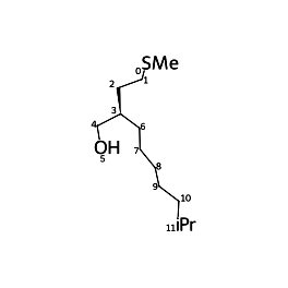 [CH2]SCC[C@H](CO)CCCCCC(C)C